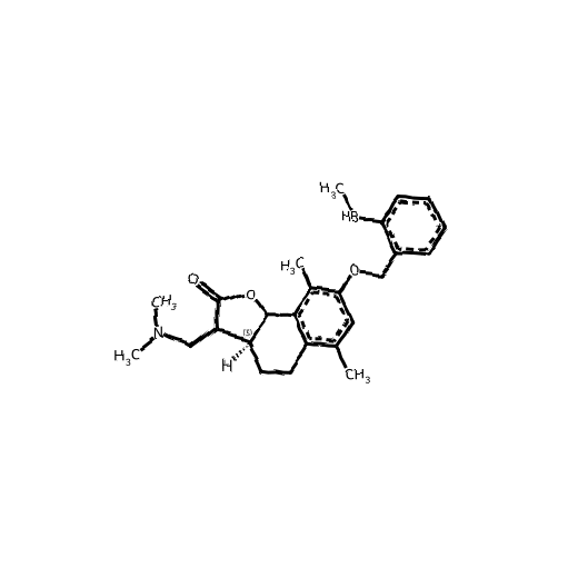 CBc1ccccc1COc1cc(C)c2c(c1C)C1OC(=O)C(CN(C)C)[C@@H]1CC2